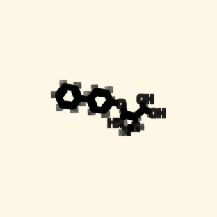 OC(O)c1nn[nH]c1Oc1ccc(-c2ccccc2)cc1